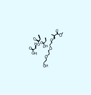 C=CC(=O)O.C=CC(=O)O.C=CC(=O)O.COC(=O)C(C)=COCCOCCOCCO